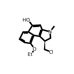 CCOc1cccc2c(O)cc3c(c12)[C@H](CCl)CN3C